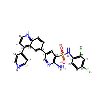 Nc1ncc(-c2ccc3nccc(-c4ccncc4)c3c2)cc1S(=O)(=O)Nc1ccc(F)cc1F